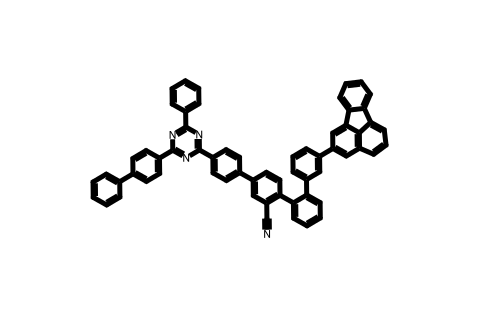 N#Cc1cc(-c2ccc(-c3nc(-c4ccccc4)nc(-c4ccc(-c5ccccc5)cc4)n3)cc2)ccc1-c1ccccc1-c1cccc(-c2cc3c4c(cccc4c2)-c2ccccc2-3)c1